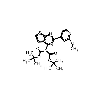 COc1cc(-c2nc(N(C(=O)OC(C)(C)C)C(=O)OC(C)(C)C)c3ccsc3n2)ccn1